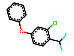 FC(F)c1ccc(Oc2ccccc2)cc1Cl